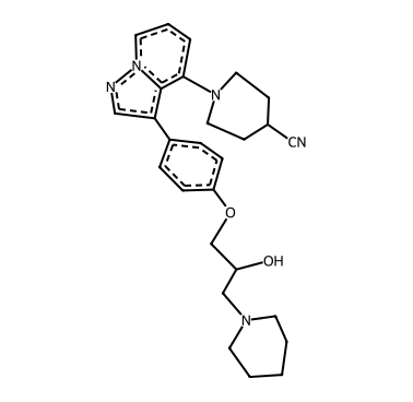 N#CC1CCN(c2cccn3ncc(-c4ccc(OCC(O)CN5CCCCC5)cc4)c23)CC1